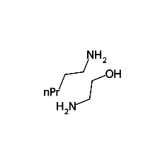 CCCCCN.NCCO